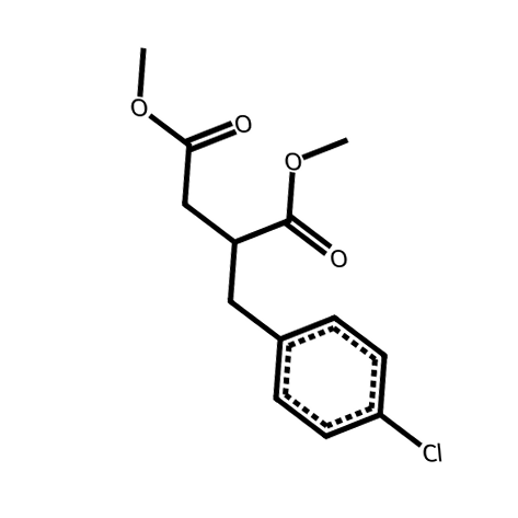 COC(=O)CC(Cc1ccc(Cl)cc1)C(=O)OC